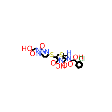 O=C(O)Cn1nc2ccc(SCC3=C(C(=O)O)N4C(=O)C(NC(=O)C(O)c5ccccc5Cl)[C@@H]4SC3)nn2c1=O